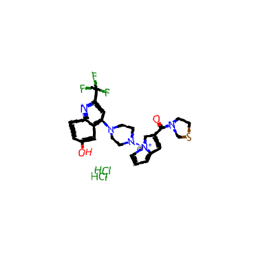 Cl.Cl.O=C(C1=CC2=CC=C[N@@+]2(N2CCN(c3cc(C(F)(F)F)nc4ccc(O)cc34)CC2)C1)N1CCSC1